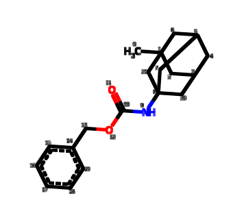 CC12CC3CC(C1)CC(NC(=O)OCc1ccccc1)(C3)C2